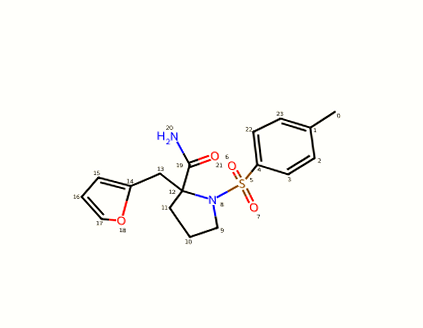 Cc1ccc(S(=O)(=O)N2CCCC2(Cc2ccco2)C(N)=O)cc1